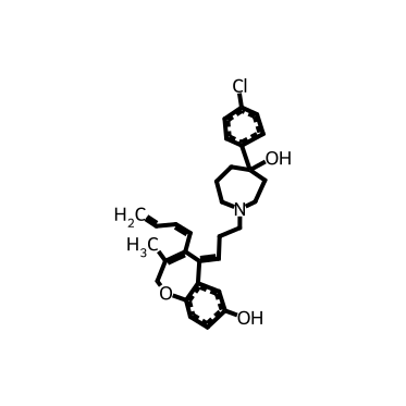 C=C/C=C\C1=C(C)COc2ccc(O)cc2/C1=C/CCN1CCCC(O)(c2ccc(Cl)cc2)CC1